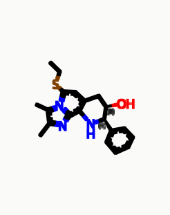 CCSc1cc2c(c3nc(C)c(C)n13)N[C@H](c1ccccc1)[C@H](O)C2